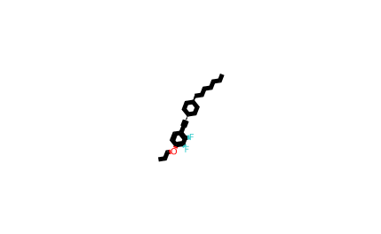 CCCCCCC[C@H]1CC[C@H](C#Cc2ccc(OCCC)c(F)c2F)CC1